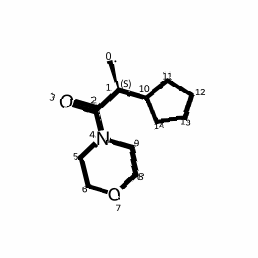 [CH2][C@H](C(=O)N1CCOCC1)C1CCCC1